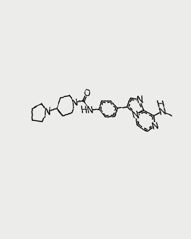 CNc1nccn2c(-c3ccc(NC(=O)N4CCC(N5CCCC5)CC4)cc3)cnc12